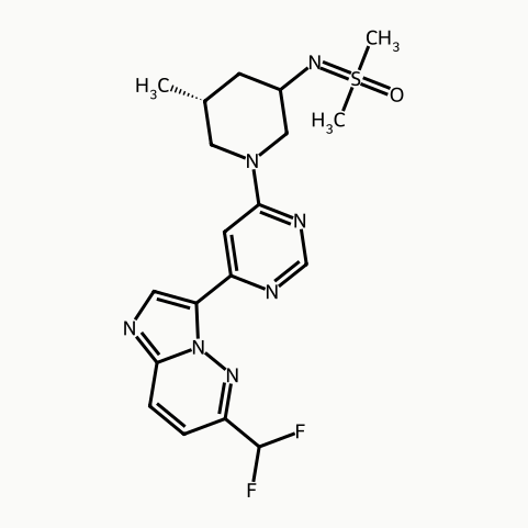 C[C@@H]1CC(N=S(C)(C)=O)CN(c2cc(-c3cnc4ccc(C(F)F)nn34)ncn2)C1